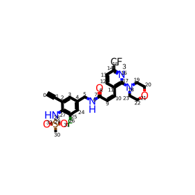 C#Cc1cc(CNC(=O)/C=C\c2ccc(C(F)(F)F)nc2N2CCOCC2)cc(F)c1NS(C)(=O)=O